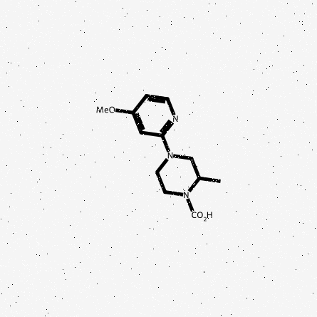 COc1ccnc(N2CCN(C(=O)O)C(C)C2)c1